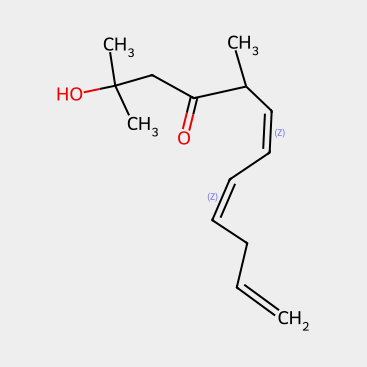 C=CC/C=C\C=C/C(C)C(=O)CC(C)(C)O